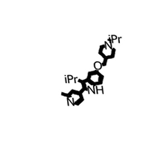 Cc1cc(-c2[nH]c3ccc(OCC4CCN(C(C)C)CC4)cc3c2C(C)C)ccn1